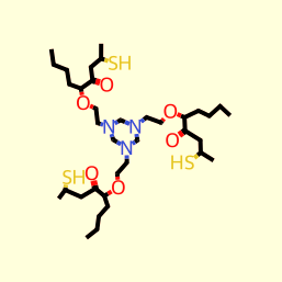 CCCCC(OCCN1CN(CCOC(CCCC)C(=O)CC(C)S)CN(CCOC(CCCC)C(=O)CC(C)S)C1)C(=O)CC(C)S